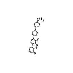 Cc1ccc(-c2ccc(-c3ccc(-c4cccc(F)c4F)c(F)c3F)cc2)cc1